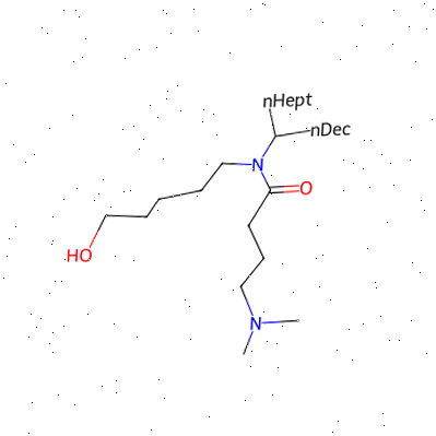 CCCCCCCCCCC(CCCCCCC)N(CCCCCO)C(=O)CCCN(C)C